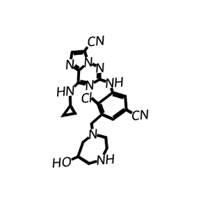 N#Cc1cc(CN2CCNCC(O)C2)c(Cl)c(Nc2nc(NC3CC3)c3ncc(C#N)n3n2)c1